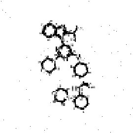 O=C(N[C@H]1CCCC[C@@H]1N1CCOCC1)[C@H]1CC[C@H](Oc2cc(-n3c(C(F)F)nc4ccccc43)nc(N3CCOCC3)n2)CC1